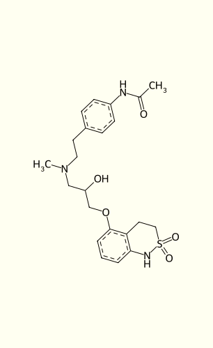 CC(=O)Nc1ccc(CCN(C)CC(O)COc2cccc3c2CCS(=O)(=O)N3)cc1